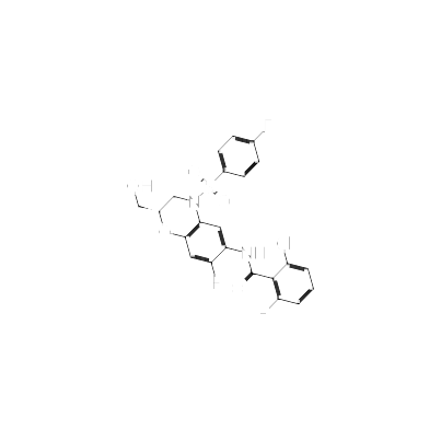 O=C(Nc1cc2c(cc1F)O[C@@H](CO)CN2S(=O)(=O)c1ccc(F)cc1)c1c(F)cccc1Cl